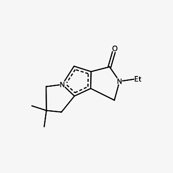 CCN1Cc2c(cn3c2CC(C)(C)C3)C1=O